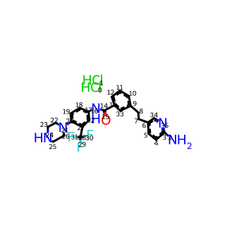 Cl.Cl.Nc1ccc(CCc2cccc(C(=O)Nc3ccc(N4CCNCC4)c(C(F)(F)F)c3)c2)cn1